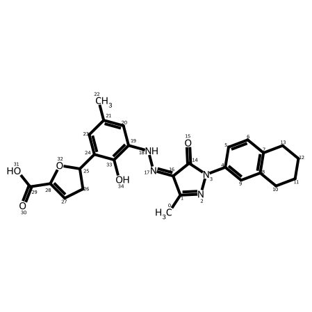 CC1=NN(c2ccc3c(c2)CCCC3)C(=O)/C1=N\Nc1cc(C)cc(C2CC=C(C(=O)O)O2)c1O